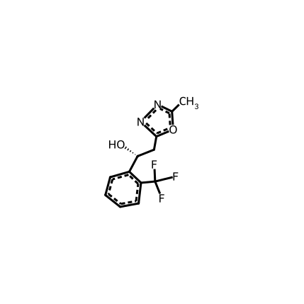 Cc1nnc(C[C@@H](O)c2ccccc2C(F)(F)F)o1